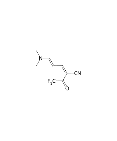 CN(C)C=CC=C(C#N)C(=O)C(F)(F)F